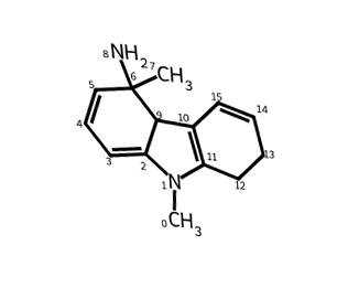 CN1C2=CC=CC(C)(N)C2C2=C1CCC=C2